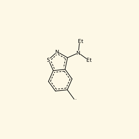 [CH2]c1ccc2snc(N(CC)CC)c2c1